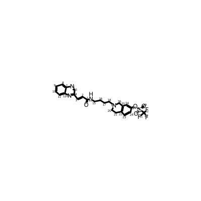 O=C(/C=C/c1cnc2ccccc2n1)NCCCCN1CCc2ccc(OS(=O)(=O)C(F)(F)F)cc2C1